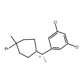 CC(C)C1(C)CCN([C@@H](C)c2cc(Cl)cc(Cl)c2)CC1